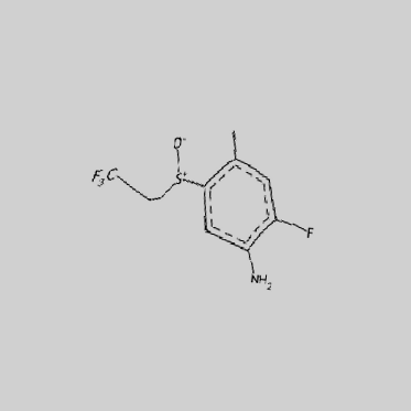 Cc1cc(F)c(N)cc1[S+]([O-])CC(F)(F)F